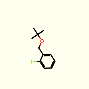 CC(C)(C)OCc1ccccc1F